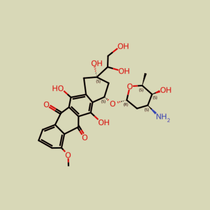 COc1cccc2c1C(=O)c1c(O)c3c(c(O)c1C2=O)C[C@@](O)(C(O)CO)C[C@@H]3O[C@H]1C[C@H](N)[C@H](O)[C@H](C)O1